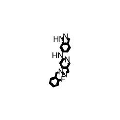 Fc1ccccc1Cn1ncc2cnc(Nc3ccc4cn[nH]c4c3)cc21